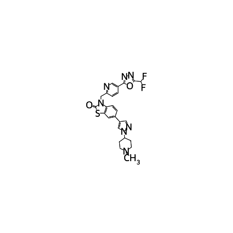 CN1CCC(n2cc(-c3ccc4c(c3)sc(=O)n4Cc3ccc(-c4nnc(C(F)F)o4)cn3)cn2)CC1